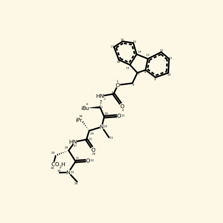 CC[C@H](C)[C@H](NC(=O)OCC1c2ccccc2-c2ccccc21)C(=O)N(C)[C@H](C(=O)N[C@@H](CC(=O)O)C(=O)N(C)C)C(C)C